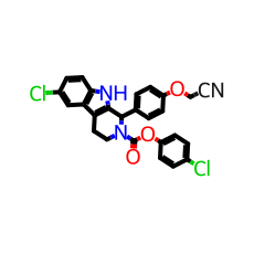 N#CCOc1ccc(C2c3[nH]c4ccc(Cl)cc4c3CCN2C(=O)Oc2ccc(Cl)cc2)cc1